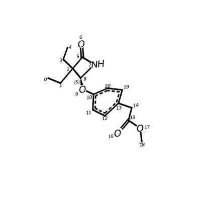 CCC1(CC)C(=O)N[C@H]1Oc1ccc(CC(=O)OC)cc1